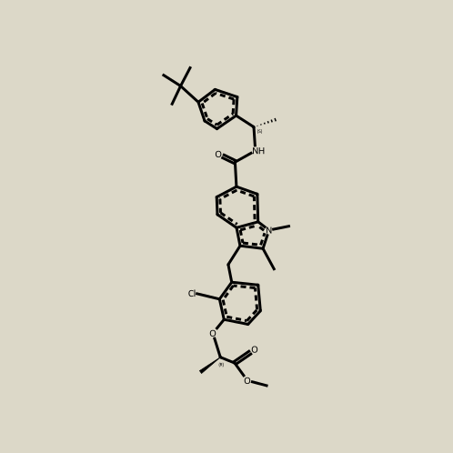 COC(=O)[C@@H](C)Oc1cccc(Cc2c(C)n(C)c3cc(C(=O)N[C@@H](C)c4ccc(C(C)(C)C)cc4)ccc23)c1Cl